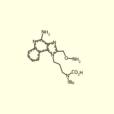 CC(C)(C)N(CCCn1c(CON)nc2c(N)nc3ccccc3c21)C(=O)O